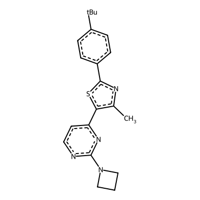 Cc1nc(-c2ccc(C(C)(C)C)cc2)sc1-c1ccnc(N2CCC2)n1